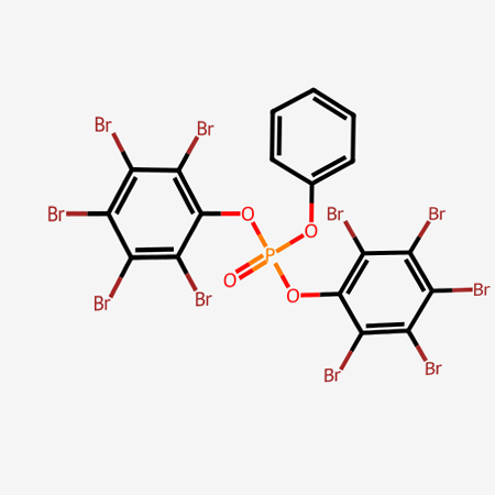 O=P(Oc1ccccc1)(Oc1c(Br)c(Br)c(Br)c(Br)c1Br)Oc1c(Br)c(Br)c(Br)c(Br)c1Br